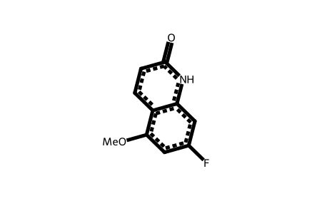 COc1cc(F)cc2[nH]c(=O)ccc12